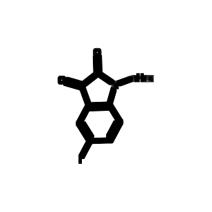 CCCCCCN1C(=O)C(=O)c2cc(I)ccc21